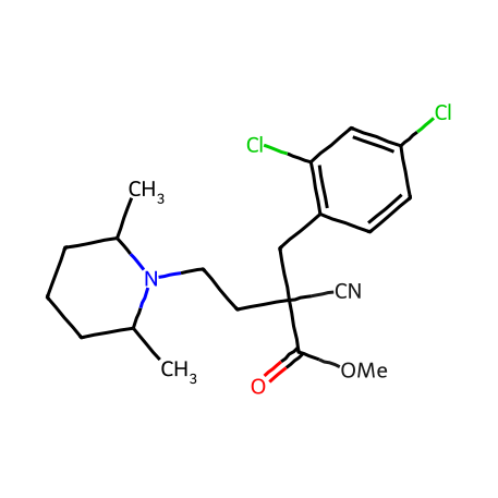 COC(=O)C(C#N)(CCN1C(C)CCCC1C)Cc1ccc(Cl)cc1Cl